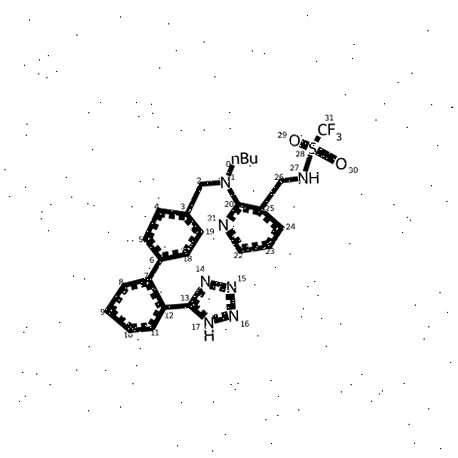 CCCCN(Cc1ccc(-c2ccccc2-c2nnn[nH]2)cc1)c1ncccc1CNS(=O)(=O)C(F)(F)F